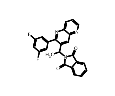 CC(c1cc2ncccc2nc1-c1cc(F)cc(F)c1)N1C(=O)c2ccccc2C1=O